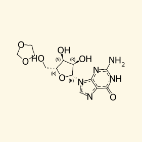 C1COCO1.Nc1nc2c(ncn2[C@@H]2O[C@H](CO)[C@@H](O)[C@H]2O)c(=O)[nH]1